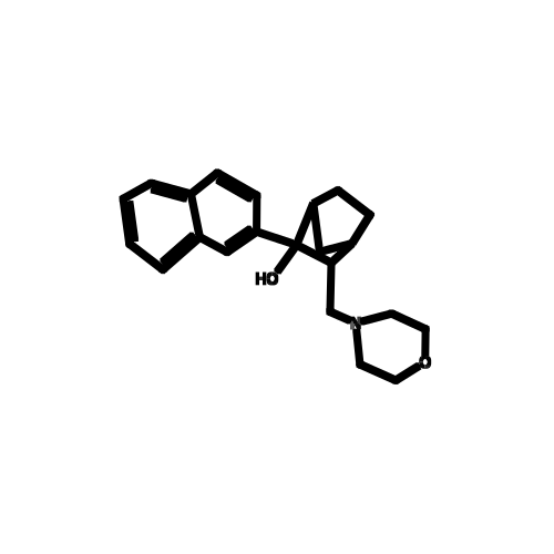 OC1(c2ccc3ccccc3c2)C2CCC(C2)C1CN1CCOCC1